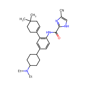 CCN(CC)C1CCC(c2ccc(NC(=O)c3nc(C#N)c[nH]3)c(C3=CCC(C)(C)CC3)c2)CC1